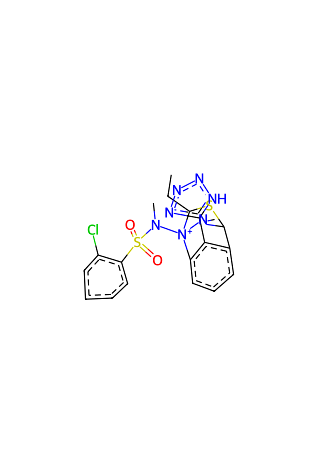 CCC1SC2=N[N+]1(N(C)S(=O)(=O)c1ccccc1Cl)c1cccc2c1-c1nnn[nH]1